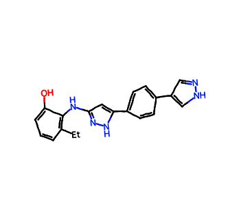 CCc1cccc(O)c1Nc1cc(-c2ccc(-c3cn[nH]c3)cc2)[nH]n1